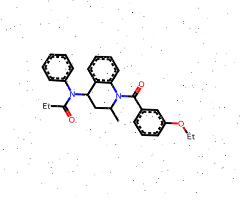 CCOc1cccc(C(=O)N2c3ccccc3C(N(C(=O)CC)c3ccccc3)CC2C)c1